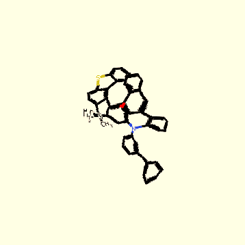 C[Si]1(C)c2cc(N(c3cccc(-c4ccccc4)c3)c3ccccc3-c3ccc4ccccc4c3)ccc2-c2c1ccc1sc3ccccc3c21